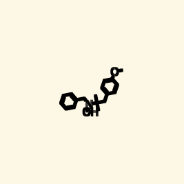 COc1ccc(CC(C)(C)N(O)Cc2ccccc2)cc1